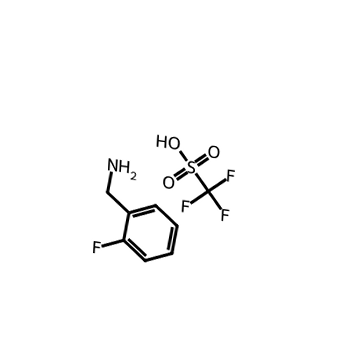 NCc1ccccc1F.O=S(=O)(O)C(F)(F)F